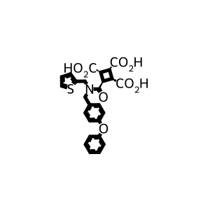 O=C(O)[C@@H]1[C@H](C(=O)O)[C@@H](C(=O)O)[C@H]1C(=O)N(Cc1ccc(Oc2ccccc2)cc1)Cc1cccs1